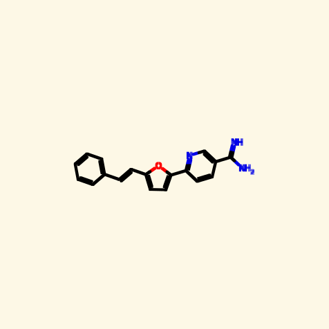 N=C(N)c1ccc(-c2ccc(/C=C/c3ccccc3)o2)nc1